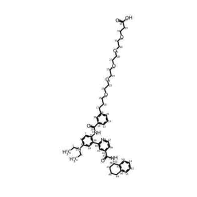 CCN(CC)c1ccc(NC(=O)c2cccc(CCCOCCOCCOCCOCCOCCC(=O)O)c2)c(-c2cc(C(=O)N[C@H]3CCCc4ccccc43)ccn2)c1